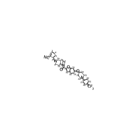 N#Cc1ccccc1CN1CCC(NC(=O)c2cc3ccc(OC4CCN(c5ccc(C(F)(F)F)cc5)CC4)cc3o2)CC1